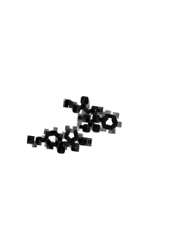 Cc1ccn([C@@H]2C[C@H](COP(=O)(N[C@H](C)C(=O)OC(C)C)Oc3ccccc3)[C@@H](O)C2(Cl)Cl)c(=O)n1